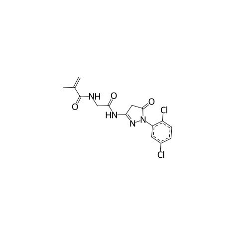 C=C(C)C(=O)NCC(=O)NC1=NN(c2cc(Cl)ccc2Cl)C(=O)C1